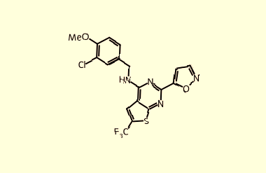 COc1ccc(CNc2nc(-c3ccno3)nc3sc(C(F)(F)F)cc23)cc1Cl